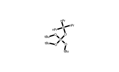 CCC[Si](CCC)(CCC)[O][Zr]([O]C(C)(C)C)([O]C(C)(C)C)[O]C(C)(C)C